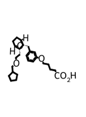 O=C(O)CCCCOc1cccc(C[C@@H]2[C@H](CCOCC3CCCC3)[C@@H]3CC[C@H]2O3)c1